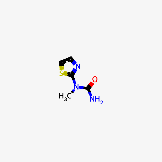 CN(C(N)=O)c1nccs1